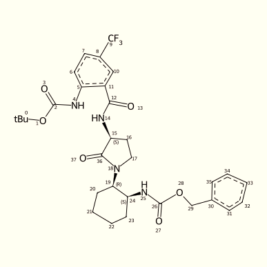 CC(C)(C)OC(=O)Nc1ccc(C(F)(F)F)cc1C(=O)N[C@H]1CCN([C@@H]2CCCC[C@@H]2NC(=O)OCc2ccccc2)C1=O